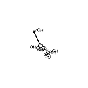 C[C@@](CCn1cc2cc(C#CC#CC3C[C@@H]3CO)ccc2n1)(C(=O)NO)S(C)(=O)=O.O=CO